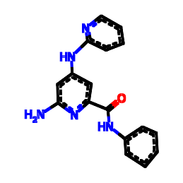 Nc1cc(Nc2ccccn2)cc(C(=O)Nc2ccccc2)n1